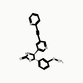 COc1cccc([C@@H]2OC(=O)N[C@H]2c2cncc(C#Cc3ccccn3)c2)c1